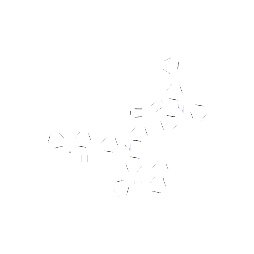 CC1(C)c2ccccc2-c2ccc(-c3ccc(N(c4ccc5c(c4)Sc4ccc(N(c6ccccc6)c6ccc7c(c6)oc6ccccc67)cc4C54c5ccccc5-c5ccccc54)c4cc(-c5cccc6ccccc56)c5oc6ccccc6c5c4)cc3)cc21